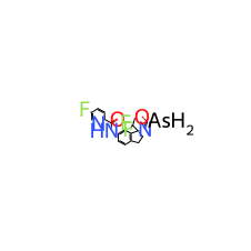 O=C(Nc1ccc2c(c1)[C@@]1(CC2)N=C([AsH2])OCC1(F)F)c1ccc(F)cn1